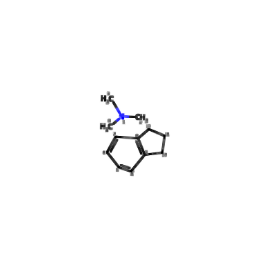 CN(C)C.[c]1cccc2c1CCC2